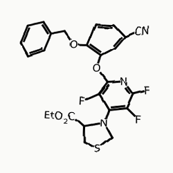 CCOC(=O)C1CSCN1c1c(F)c(F)nc(Oc2cc(C#N)ccc2OCc2ccccc2)c1F